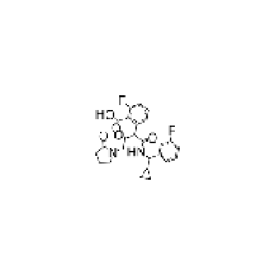 O=C(O)c1c(F)cccc1C(C(=O)CN1CCCC1=O)C(=O)NC(c1cccc(F)c1)C1CC1